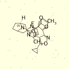 COC(=O)c1cc(C)nc(N2C3CC[C@H]2CC(OCc2c(-c4ccccc4C(F)(F)F)noc2C2CC2)C3)n1